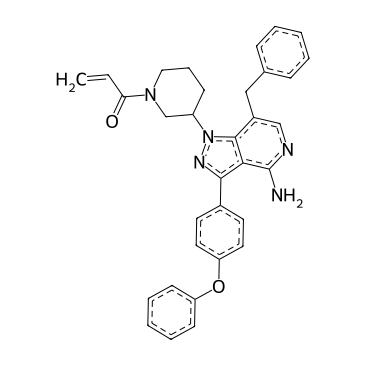 C=CC(=O)N1CCCC(n2nc(-c3ccc(Oc4ccccc4)cc3)c3c(N)ncc(Cc4ccccc4)c32)C1